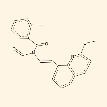 COc1ccc2cccc(/C=C/N(C=O)C(=O)c3ccccc3C)c2n1